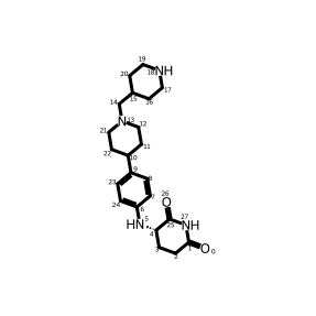 O=C1CC[C@H](Nc2ccc(C3CCN(CC4CCNCC4)CC3)cc2)C(=O)N1